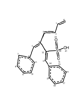 C=CC=CC(=Cc1ccccc1)C(=Cc1ccccc1)S(=O)(=O)O